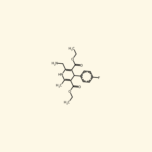 CCOC(=O)C1=C(C)NC(CN)=C(C(=O)OCC)C1c1ccc(F)cc1